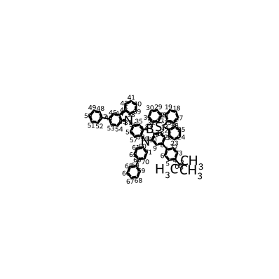 CC(C)(C)c1ccc(-c2cc3c4c(c2)[Si](c2ccccc2)(c2ccccc2)c2ccccc2B4c2cc(-n4c5ccccc5c5cc(-c6ccccc6)ccc54)ccc2N3c2ccc(-c3ccccc3)cc2)cc1